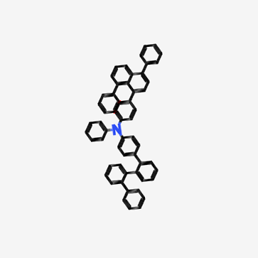 c1ccc(-c2ccccc2-c2ccccc2-c2ccc(N(c3ccccc3)c3ccc(-c4ccc(-c5ccccc5)c5cccc(-c6ccccc6)c45)cc3)cc2)cc1